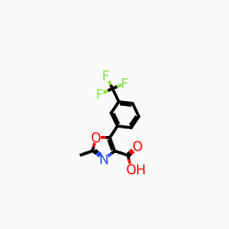 Cc1nc(C(=O)O)c(-c2cccc(C(F)(F)F)c2)o1